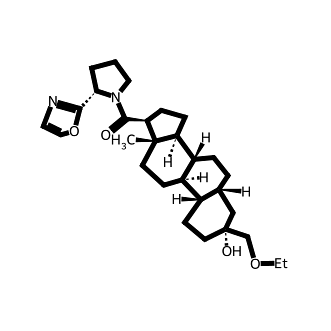 CCOC[C@@]1(O)CC[C@H]2[C@H](CC[C@@H]3[C@@H]2CC[C@]2(C)[C@@H](C(=O)N4CCC[C@H]4c4ncco4)CC[C@@H]32)C1